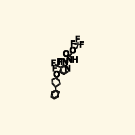 O=C(COCC(F)(F)F)NNc1nccc(OC2CCC(c3ccccc3)CC2)c1C(F)(F)F